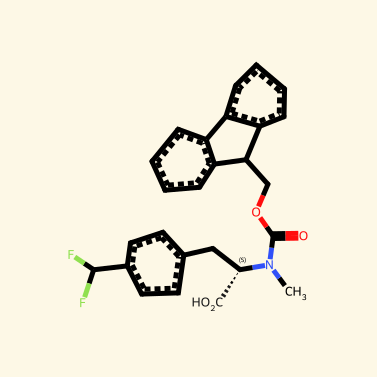 CN(C(=O)OCC1c2ccccc2-c2ccccc21)[C@@H](Cc1ccc(C(F)F)cc1)C(=O)O